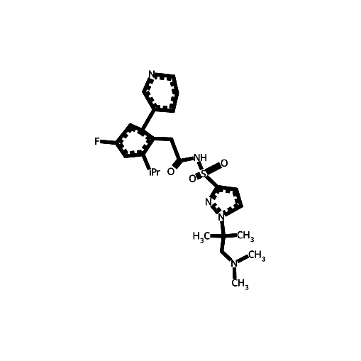 CC(C)c1cc(F)cc(-c2cccnc2)c1CC(=O)NS(=O)(=O)c1ccn(C(C)(C)CN(C)C)n1